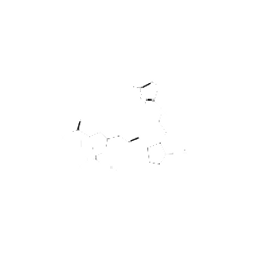 C=C(C)CCC(C/C=C/[C@H]1CC[C@H](OC(C)=O)[C@@H]1CCSc1nc(C(=O)OCC)cs1)O[Si](C)(C)C(C)(C)C